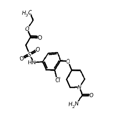 CCOC(=O)CS(=O)(=O)Nc1ccc(OC2CCN(C(N)=O)CC2)c(Cl)c1